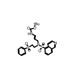 CC(C)(C)OC(=O)NC=CCN(CCS(=O)(=O)c1ccccc1)S(=O)(=O)c1cccc2cnccc12